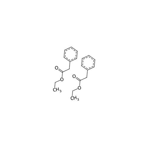 CCOC(=O)Cc1ccccc1.CCOC(=O)Cc1ccccc1